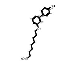 CCCCCCCCCCCCCCCCCCOc1cc[c]c(-c2ccc(O)cc2)c1